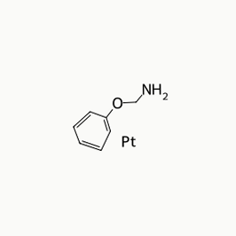 NCOc1ccccc1.[Pt]